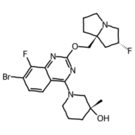 C[C@@]1(O)CCCN(c2nc(OC[C@@]34CCCN3C[C@H](F)C4)nc3c(F)c(Br)ccc23)C1